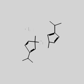 CC(C)C1=C[C](C)([Zr+2][C]2(C)C=CC(C(C)C)=C2)C=C1.[Cl-].[Cl-]